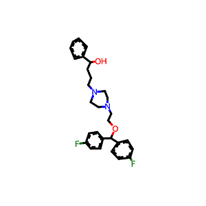 OC(CCCN1CCN(CCOC(c2ccc(F)cc2)c2ccc(F)cc2)CC1)c1ccccc1